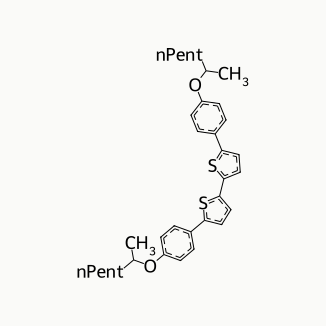 CCCCCC(C)Oc1ccc(-c2ccc(-c3ccc(-c4ccc(OC(C)CCCCC)cc4)s3)s2)cc1